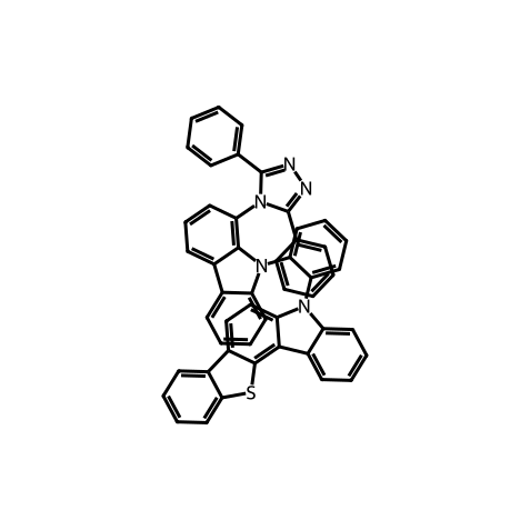 c1ccc(-c2nnc(-c3ccccc3)n2-c2cccc3c4ccccc4n(-c4ccccc4-n4c5ccccc5c5c6sc7ccccc7c6ccc54)c23)cc1